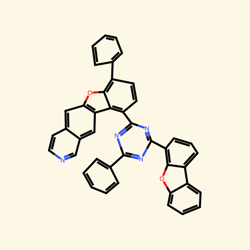 c1ccc(-c2nc(-c3cccc4c3oc3ccccc34)nc(-c3ccc(-c4ccccc4)c4oc5cc6ccncc6cc5c34)n2)cc1